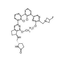 COc1nc(-c2cccc(-c3cccc(-c4cc5c(c(OC)n4)[C@@H](NC[C@@H]4CCC(=O)N4)CC5)c3Cl)c2Cl)cnc1CN1CC(F)C1